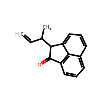 C=CC(C)C1C(=O)c2cccc3cccc1c23